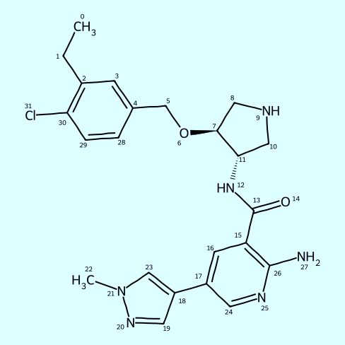 CCc1cc(CO[C@H]2CNC[C@@H]2NC(=O)c2cc(-c3cnn(C)c3)cnc2N)ccc1Cl